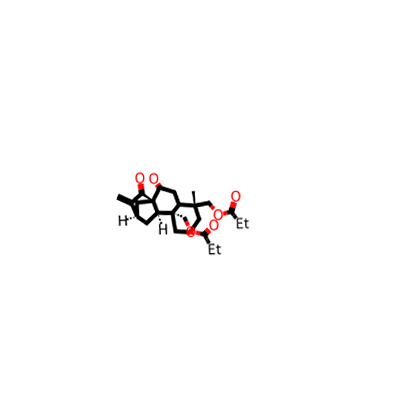 C=C1C(=O)[C@]23C[C@H]1C[C@@H]2[C@]1(COC(=O)CC)CCC[C@@](C)(COC(=O)CC)C1CC3=O